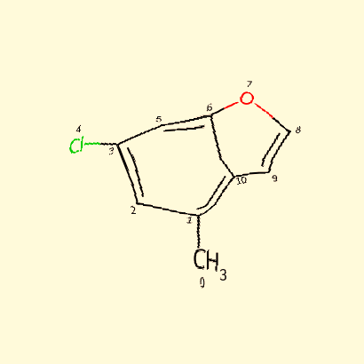 Cc1cc(Cl)cc2occc12